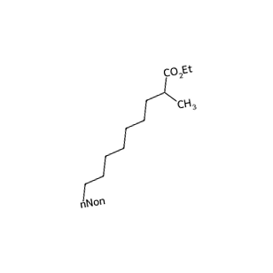 CCCCCCCCCCCCCCCCC(C)C(=O)OCC